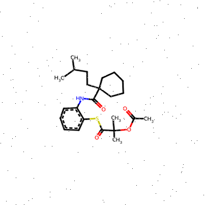 CC(=O)OC(C)(C)C(=O)Sc1ccccc1NC(=O)C1(CCC(C)C)CCCCC1